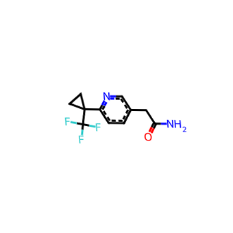 NC(=O)Cc1ccc(C2(C(F)(F)F)CC2)nc1